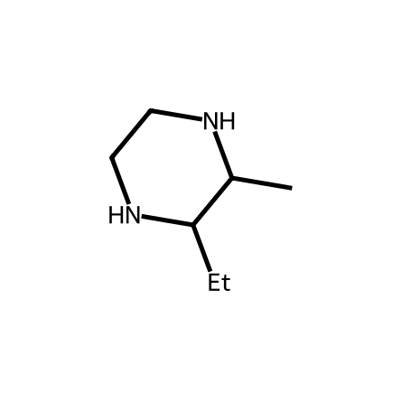 CCC1NCCNC1C